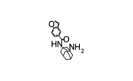 NC12CC3CC(C1)CC(NC(=O)c1ccc4occc4c1)(C3)C2